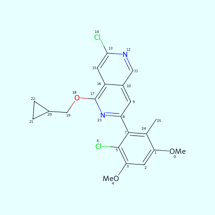 COc1cc(OC)c(Cl)c(-c2cc3cnc(Cl)cc3c(OCC3CC3)n2)c1C